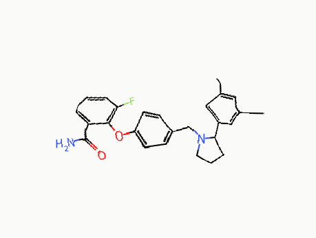 Cc1cc(C)cc(C2CCCN2Cc2ccc(Oc3c(F)cccc3C(N)=O)cc2)c1